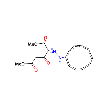 COC(=O)CC(=O)/C(=N\Nc1ccccccccc1)C(=O)OC